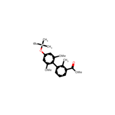 COC(=O)c1cccc(-c2c(OC)cc(O[Si](C)(C)C(C)(C)C)cc2OC)c1C